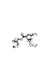 CC(C)(C)OC(=O)NOC(=O)C1CC(C#N)C2C(C(=O)O)C12